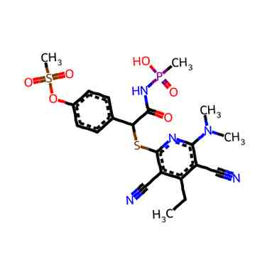 CCc1c(C#N)c(SC(C(=O)NP(C)(=O)O)c2ccc(OS(C)(=O)=O)cc2)nc(N(C)C)c1C#N